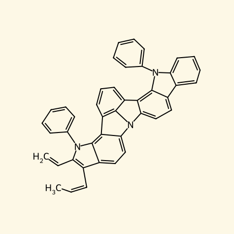 C=Cc1c(/C=C\C)c2ccc3c(c4cccc5c6c7c(ccc6n3c45)c3ccccc3n7-c3ccccc3)c2n1-c1ccccc1